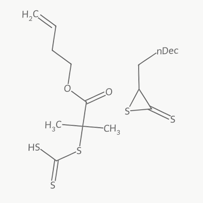 C=CCCOC(=O)C(C)(C)SC(=S)S.CCCCCCCCCCCC1SC1=S